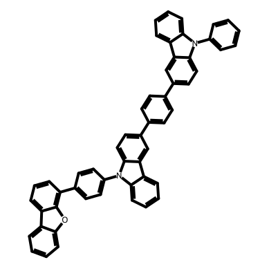 c1ccc(-n2c3ccccc3c3cc(-c4ccc(-c5ccc6c(c5)c5ccccc5n6-c5ccc(-c6cccc7c6oc6ccccc67)cc5)cc4)ccc32)cc1